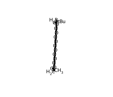 BC(C(=O)OCCOCCOCCOCCOCCOCCOCCOCCOCCOCCOC(=O)C(=C)C)C(C)(C)C